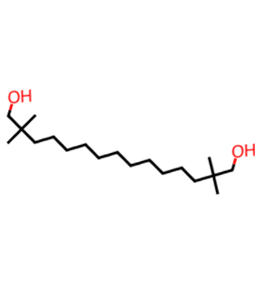 CC(C)(CO)CCCCCCCCCCCC(C)(C)CO